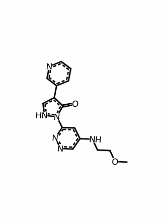 COCCNc1cnnc(-n2[nH]cc(-c3cccnc3)c2=O)c1